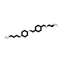 C=CCOCC1CCC(CC[C@H]2CC[C@H](CCCCC)CC2)CC1